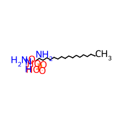 CCCCCCCCCCCCCCCC(OP(=O)(O)O)C(N)CONN